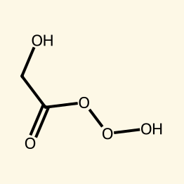 O=C(CO)OOO